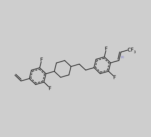 C=Cc1cc(F)c(C2CCC(CCc3cc(F)c(/C=C/C(F)(F)F)c(F)c3)CC2)c(F)c1